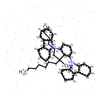 CCCCCCCC(C)(CCCCCC)c1c(-n2c3ccccc3c3ccccc32)cccc1-n1c2ccccc2c2ccccc21